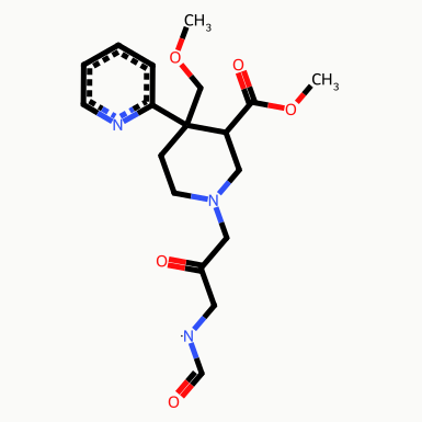 COCC1(c2ccccn2)CCN(CC(=O)C[N]C=O)CC1C(=O)OC